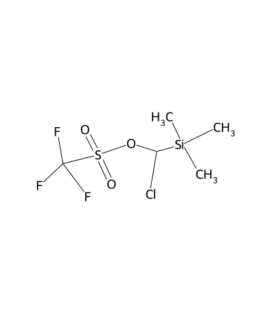 C[Si](C)(C)C(Cl)OS(=O)(=O)C(F)(F)F